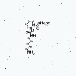 CCCCCCCC(=O)N1CCCC[C@@H]1OC(=O)NCCCCCN